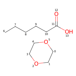 C1COCCO1.CCCCCC(=O)O